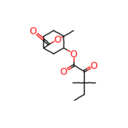 CCC(C)(C)C(=O)C(=O)OC1CC2CCC1(C)OC2=O